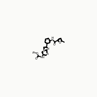 Cc1ccc(C(=O)Nc2cccc(-c3cn4cc(NC(=O)OC(C)C)cnc4n3)c2)o1